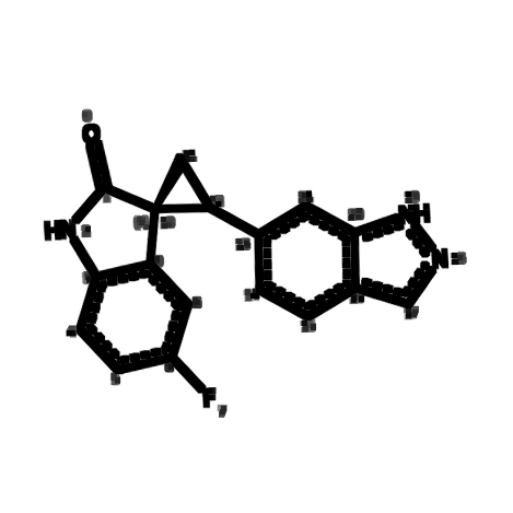 O=C1Nc2ccc(F)cc2[C@]12CC2c1ccc2cn[nH]c2c1